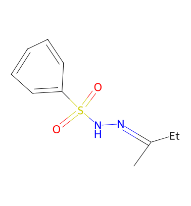 CCC(C)=NNS(=O)(=O)c1ccccc1